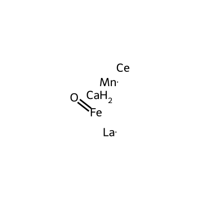 [CaH2].[Ce].[La].[Mn].[O]=[Fe]